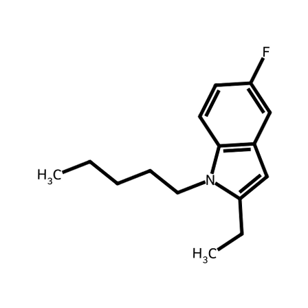 CCCCCn1c(CC)cc2cc(F)ccc21